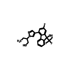 CCC(CO)n1cc(-c2cc(F)cc3c2-c2ccccc2C3(O)C(F)(F)F)cn1